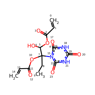 C=CC(=O)OC(O)C(CC)(OC(=O)C=C)n1c(=O)[nH]c(=O)[nH]c1=O